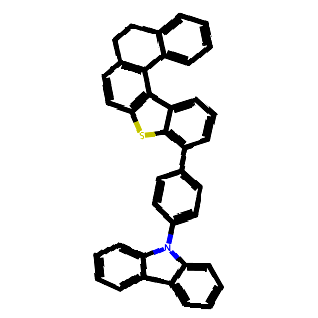 c1ccc2c(c1)CCc1ccc3sc4c(-c5ccc(-n6c7ccccc7c7ccccc76)cc5)cccc4c3c1-2